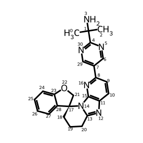 CC(C)(N)c1ncc(-c2ccc3nc4n(c3n2)[C@@]2(CCC4)COc3ccccc32)cn1